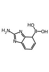 NC1=NC2=CC=CC(B(O)O)C2=N1